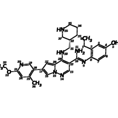 CCc1cc(O)ccc1/N=C(\N)c1cnn2cc(-c3cnc(OC)cc3C)cc2c1NC[C@H]1CCCNC1